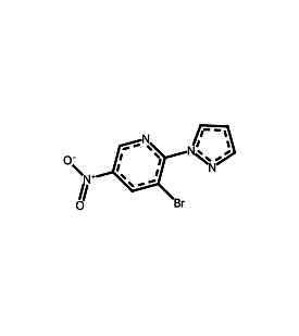 O=[N+]([O-])c1cnc(-n2cccn2)c(Br)c1